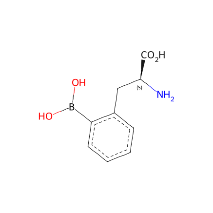 N[C@@H](Cc1ccccc1B(O)O)C(=O)O